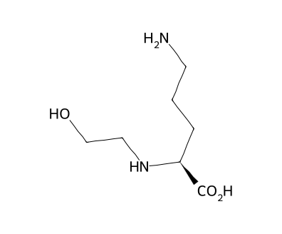 NCCC[C@H](NCCO)C(=O)O